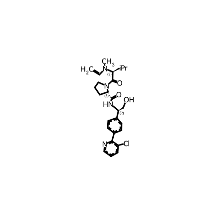 C=CN(C)[C@H](C(=O)N1CCC[C@H]1C(=O)N[C@@H](CO)c1ccc(-c2ncccc2Cl)cc1)C(C)C